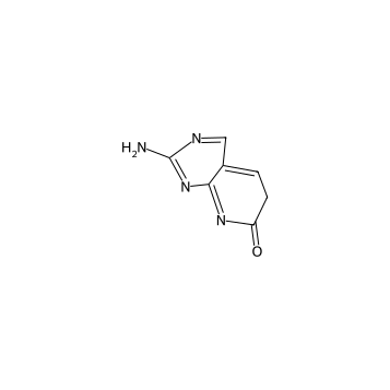 Nc1ncc2c(n1)=NC(=O)CC=2